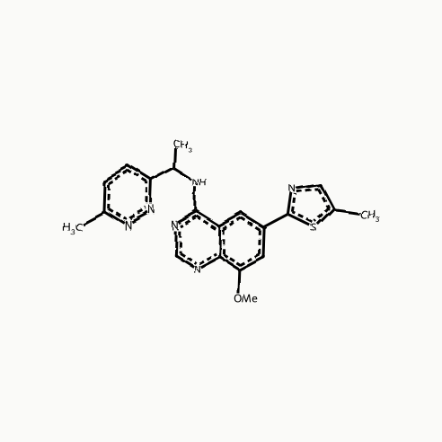 COc1cc(-c2ncc(C)s2)cc2c(NC(C)c3ccc(C)nn3)ncnc12